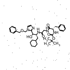 CC(C)(C)OC(=O)N[C@@H](Cc1ccccc1)C(=O)NCC(=O)N[C@@H](CC1CCCCC1)C(O)c1nccn1COCc1ccccc1